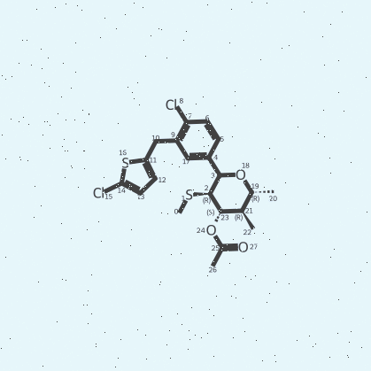 CS[C@H]1C(c2ccc(Cl)c(Cc3ccc(Cl)s3)c2)O[C@H](C)[C@@H](C)[C@@H]1OC(C)=O